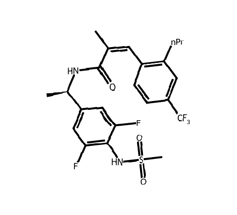 CCCc1cc(C(F)(F)F)ccc1/C=C(/C)C(=O)N[C@H](C)c1cc(F)c(NS(C)(=O)=O)c(F)c1